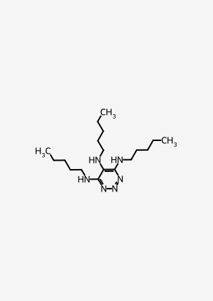 CCCCCNc1nnnc(NCCCCC)c1NCCCCC